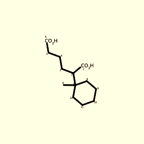 CC1(C(CCCC(=O)O)C(=O)O)CCCCC1